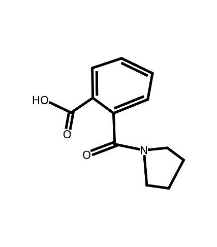 O=C(O)c1ccccc1C(=O)N1CCCC1